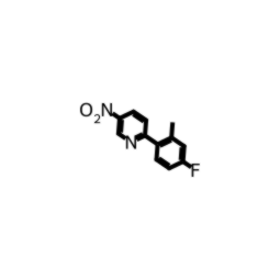 Cc1cc(F)ccc1-c1ccc([N+](=O)[O-])cn1